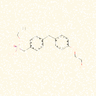 CCOP(=O)(O)Cc1ccc(Cc2ccc(OCCO)cc2)cc1